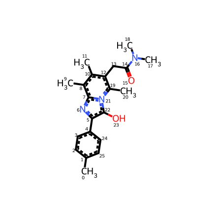 Cc1ccc(-c2nc3c(C)c(C)c(CC(=O)N(C)C)c(C)n3c2O)cc1